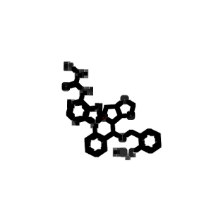 CCNC(=O)Nc1ncnc2c1ncn2-c1ccccc1C(OCc1ccccc1C(=O)O)C1OCC2OCOC21